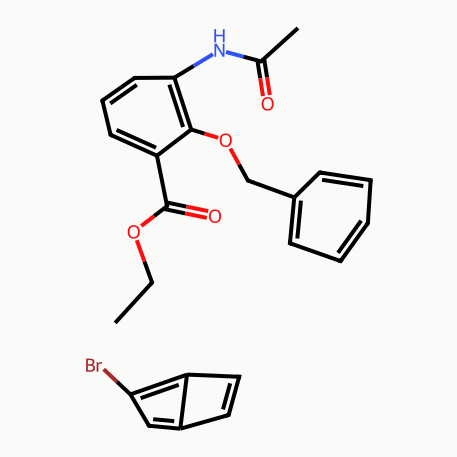 Brc1cc2ccc1-2.CCOC(=O)c1cccc(NC(C)=O)c1OCc1ccccc1